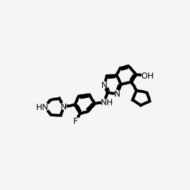 Oc1ccc2cnc(Nc3ccc(N4CCNCC4)c(F)c3)nc2c1C1CCCC1